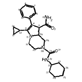 NC(=O)C1C(c2ccccc2)=C(C2CC2)N2CCN(C(=O)NC3CCCCC3)CC12